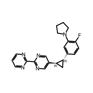 Fc1ccc([C@@H]2C[C@H]2c2cnc(-c3ncccn3)nc2)cc1N1CCCC1